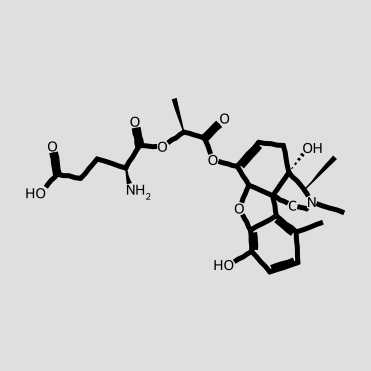 Cc1ccc(O)c2c1C13CCN(C)[C@H](C)[C@]1(O)CC=C(OC(=O)[C@H](C)OC(=O)[C@@H](N)CCC(=O)O)C3O2